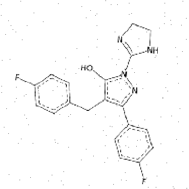 Oc1c(Cc2ccc(F)cc2)c(-c2ccc(F)cc2)nn1C1=NCCN1